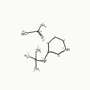 CC(C)(C)NC1CCCNC1.NC(=O)O